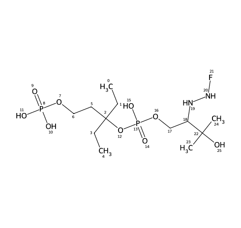 CCC(CC)(CCOP(=O)(O)O)OP(=O)(O)OCC(NNF)C(C)(C)O